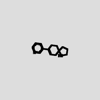 C1=C(c2cccnc2)CCC2(C1)CCCN2